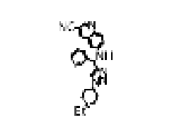 CCN1CCC(n2cc(C(Nc3ccc4ncc(C#N)cc4c3)c3cccnc3)nn2)CC1